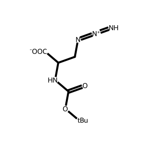 CC(C)(C)OC(=O)NC(CN=[N+]=N)C(=O)[O-]